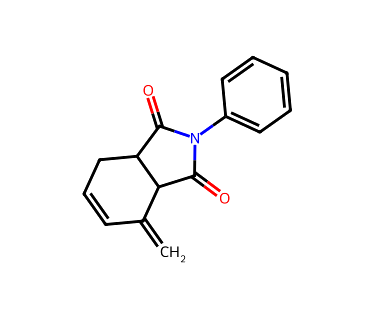 C=C1C=CCC2C(=O)N(c3ccccc3)C(=O)C12